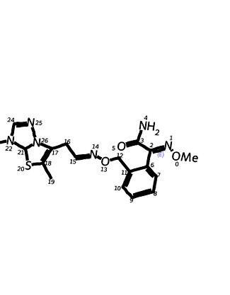 CO/N=C(/C(N)=O)c1ccccc1CON=CCC1=C(C)SC2N(C)C=NN12